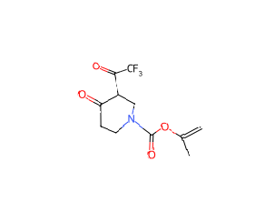 C=C(C)OC(=O)N1CCC(=O)C(C(=O)C(F)(F)F)C1